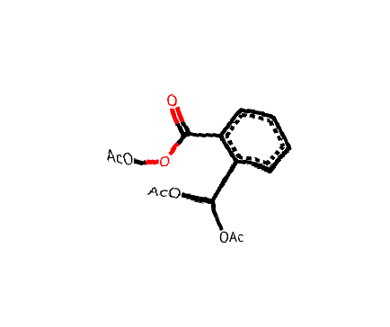 CC(=O)OOC(=O)c1ccccc1C(OC(C)=O)OC(C)=O